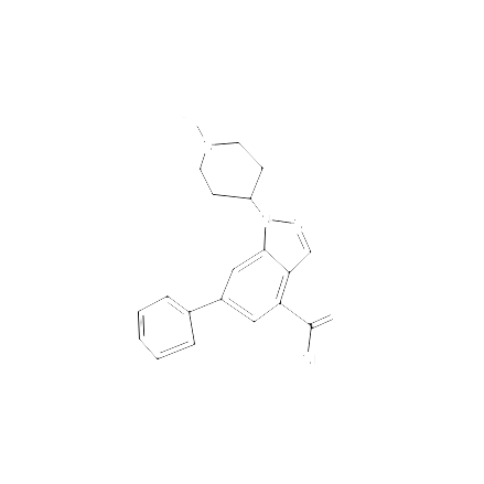 CCN1CCC(n2ncc3c(C(N)=O)cc(-c4ccccc4)cc32)CC1